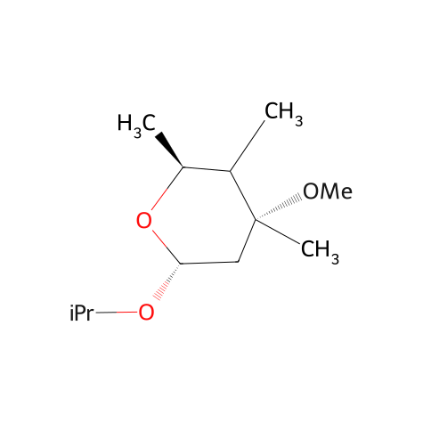 CO[C@]1(C)C[C@H](OC(C)C)O[C@@H](C)C1C